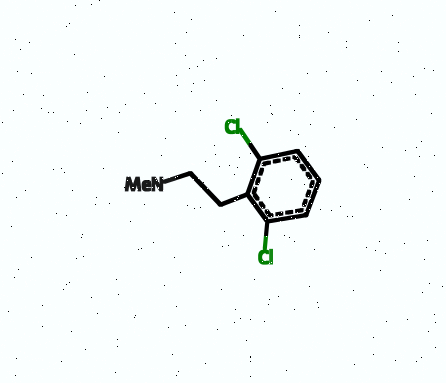 CNCCc1c(Cl)cccc1Cl